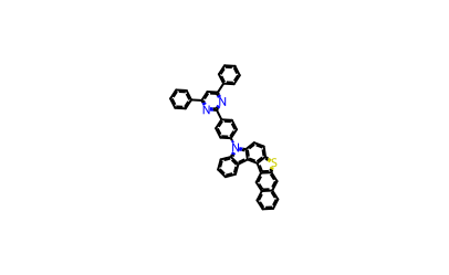 c1ccc(-c2cc(-c3ccccc3)nc(-c3ccc(-n4c5ccccc5c5c6c(ccc54)sc4cc5ccccc5cc46)cc3)n2)cc1